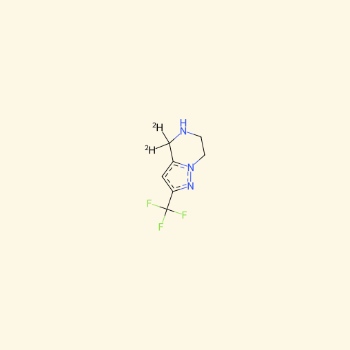 [2H]C1([2H])NCCn2nc(C(F)(F)F)cc21